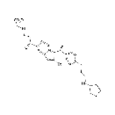 CCOC(=O)CNCCC(=O)c1ccn2c(C(=O)c3ccc(CCCNC4CCCC4)cc3)c(CC)cc2c1